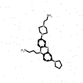 NCCCN1c2ccc(N3CCCC3)cc2Sc2cc(N3CCN(CCN)CC3)ccc21